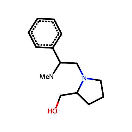 CNC(CN1CCCC1CO)c1ccccc1